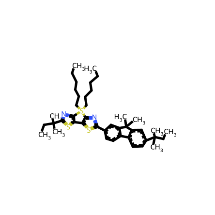 CCCCCCS1(CCCCCC)c2nc(-c3ccc4c(c3)C(C)(C)c3cc(C(C)(C)CC)ccc3-4)sc2-c2sc(C(C)(C)CC)nc21